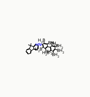 Bc1c(B)c(B)c(-c2c(B)c(B)c(Nc3ccc4c(c3)C(C)(C)c3ccccc3-4)c(B)c2B)c(B)c1B